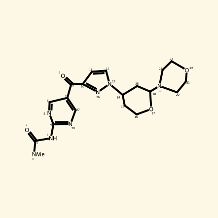 CNC(=O)Nc1ncc(C(=O)c2ccn(C3CCOC(N4CCOCC4)C3)n2)cn1